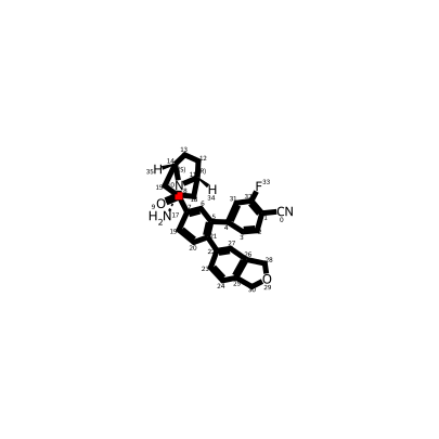 N#Cc1ccc(-c2cc(C(=O)N3[C@@H]4CC[C@H]3C[C@@H](N)C4)ccc2-c2ccc3c(c2)COC3)cc1F